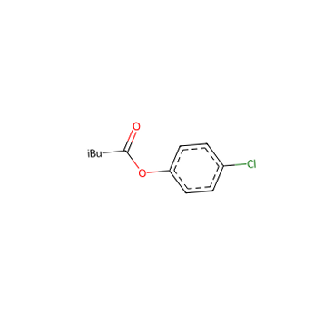 CCC(C)C(=O)Oc1ccc(Cl)cc1